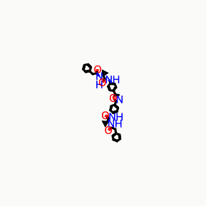 O=C(Cc1ccccc1)NC1(C(=O)Nc2ccc(-c3cnc(-c4ccc(NC(=O)C5(NC(=O)Cc6ccccc6)CC5)cc4)o3)cc2)CC1